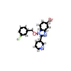 Fc1cccc(COn2c(-c3cccnc3)nc3cc(Br)ccc32)c1